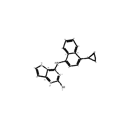 Sc1nc(Nc2ccc(C3CC3)c3ccccc23)c2sccc2n1